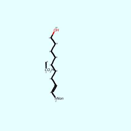 CC(=O)O.CCCCCCCCCC=CCCCCCCCO